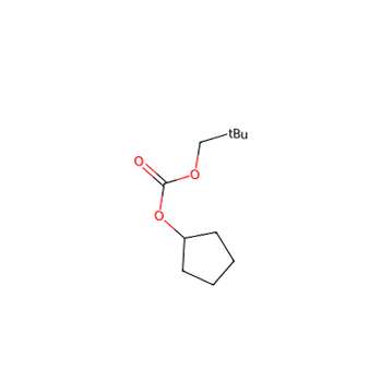 CC(C)(C)COC(=O)OC1CCCC1